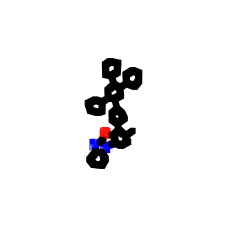 Cc1ccc2c(oc3nc4ccccc4n32)c1-c1ccc(-c2cc(-c3ccccc3)c(-c3ccccc3)cc2-c2ccccc2)cc1